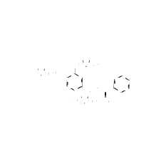 COc1cc(OC)c(OC)cc1CCC(=O)c1ccccc1